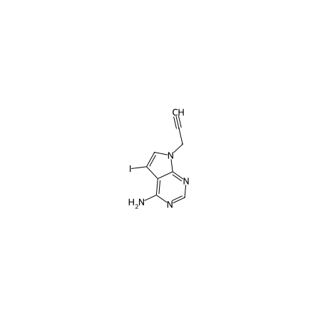 C#CCn1cc(I)c2c(N)ncnc21